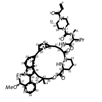 C=CC(=O)N1CCN(C(=O)N(C)C(C(=O)N[C@H]2Cc3nc(cs3)-c3ccc4c(c3)c(c(-c3cccnc3[C@H](C)OC)n4CC)CC(C)(C)COC(=O)[C@@H]3CCCN(N3)C2=O)C(C)C)C[C@@H]1C